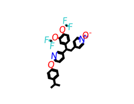 CC(C)c1ccc(Oc2ccc(C(Cc3cc[n+]([O-])cc3)c3ccc(OC(F)F)c(OC(F)F)c3)cn2)cc1